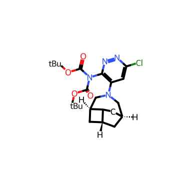 CC(C)(C)OC(=O)N(C(=O)OC(C)(C)C)c1nnc(Cl)cc1N1C[C@@H]2CC3[C@H](C2)C[C@H]3C1